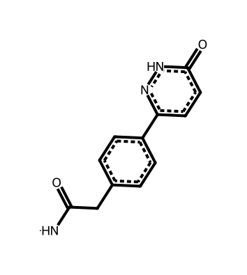 [NH]C(=O)Cc1ccc(-c2ccc(=O)[nH]n2)cc1